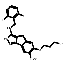 COc1cc2c(cc1OCCCO)Cc1c-2n[nH]c1NCc1c(F)cccc1F